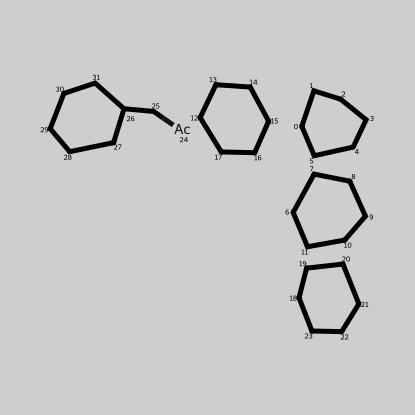 C1CCCCC1.C1CCCCC1.C1CCCCC1.C1CCCCC1.CC(=O)CC1CCCCC1